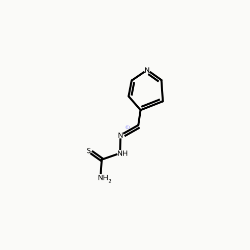 NC(=S)N/N=C/c1ccncc1